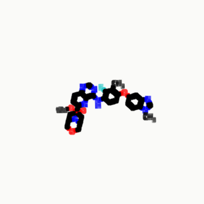 Cc1c(Oc2ccc3c(c2)ncn3C)ccc(Nc2ncnc3ccc(C4CC5COCC(C4)N5C(=O)OC(C)(C)C)nc23)c1F